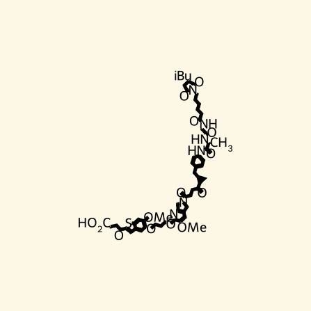 CCC(C)C1CC(=O)N(CCCCCC(=O)NCC(=O)N[C@@H](C)C(=O)Nc2ccc(CC3CC3C(=O)CCC(=O)N3Cc4cc(OC)c(OCCCOc5cc6cc(C(=O)CCC(=O)O)sc6cc5OC)nc4C3)cc2)C1=O